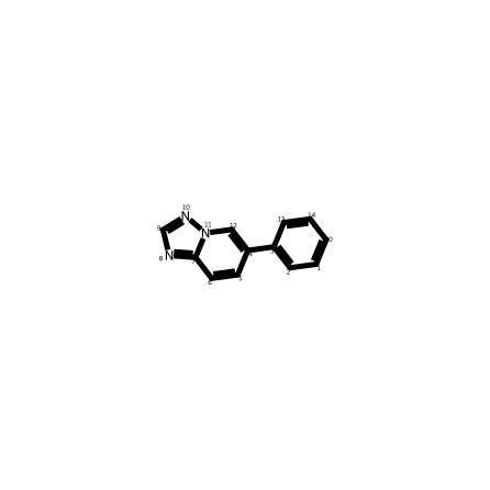 [c]1ccc(-c2ccc3ncnn3c2)cc1